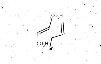 C=C[CH2][Sn].O=C(O)C=CC(=O)O